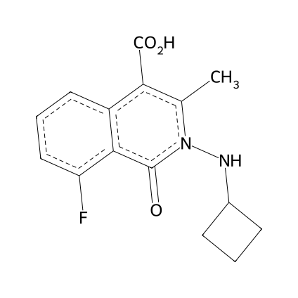 Cc1c(C(=O)O)c2cccc(F)c2c(=O)n1NC1CCC1